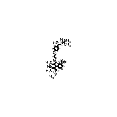 CCOC(=O)C1=C(C)NC(C)=C(C(=O)OCCCOc2ccc(C(O)CNC(C)C)cc2)C1c1cccc([N+](=O)[O-])c1